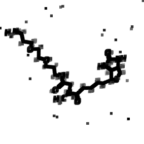 CN(CC(=O)NCCCOCCOCCCN)C(=O)CCCC[C@@H]1SCC2NC(=O)NC21